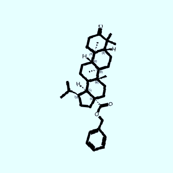 CC(C)[C@@H]1CC[C@]2(C(=O)OCc3ccccc3)CC[C@]3(C)C(CC[C@@H]4[C@@]5(C)CCC(=O)C(C)(C)[C@@H]5CC[C@]43C)[C@H]12